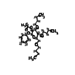 CCCCOCC1O[C@H](Oc2ccccc2)[C@H](OC(C)=O)C(OCCCC)[C@@H]1OCCCC